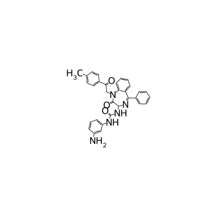 Cc1ccc(C(=O)CN2C(=O)C(NC(=O)Nc3cccc(N)c3)N=C(c3ccccc3)c3ccccc32)cc1